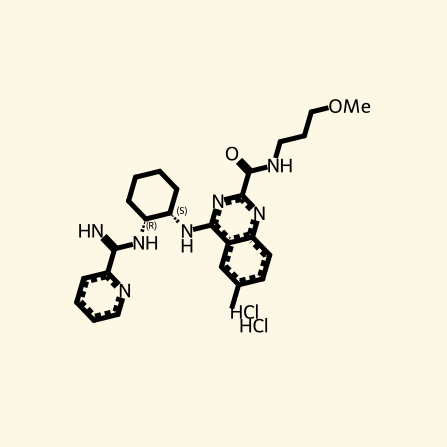 COCCCNC(=O)c1nc(N[C@H]2CCCC[C@H]2NC(=N)c2ccccn2)c2cc(C)ccc2n1.Cl.Cl